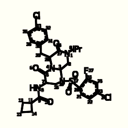 CC(C)N1CC2N(C(=O)C(NC(=O)C3CCC3)CN2S(=O)(=O)c2ccc(Cl)cc2F)C(Cc2ccc(Cl)cc2)C1=O